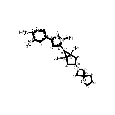 CC(C)n1nc(-c2cnc(N)c(C(F)(F)F)c2)cc1[C@H]1[C@@H]2C[C@@H](N3CC4(CCCO4)C3)C[C@@H]21